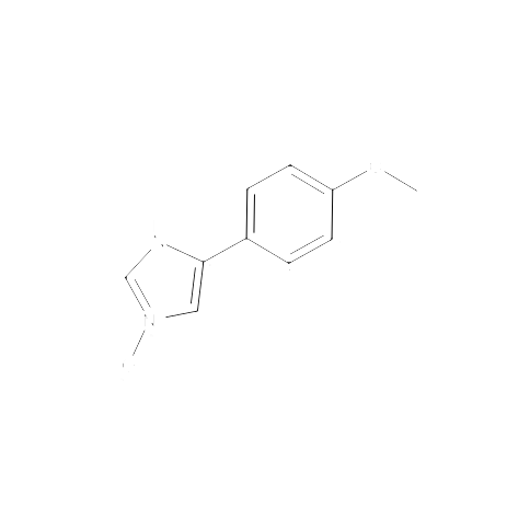 COc1ccc(-c2c[n+]([O-])c[nH]2)cc1